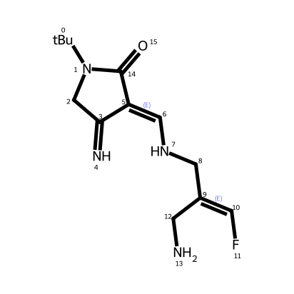 CC(C)(C)N1CC(=N)/C(=C\NC/C(=C/F)CN)C1=O